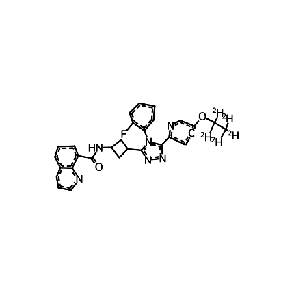 [2H]C([2H])([2H])C([2H])([2H])Oc1ccc(-c2nnc(C3CC(NC(=O)c4cccc5cccnc45)C3)n2-c2ccccc2F)nc1